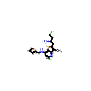 Cc1c(C[C@@H](N)CCF)sc2c(NCc3cccs3)cc(Cl)nc12